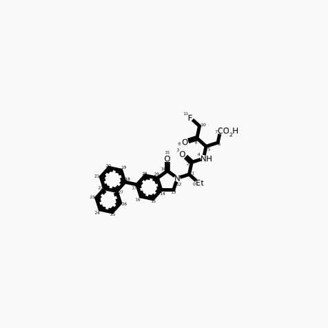 CCC(C(=O)NC(CC(=O)O)C(=O)CF)N1Cc2ccc(-c3cccc4ccccc34)cc2C1=O